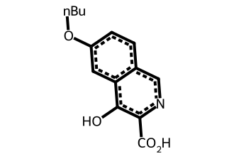 CCCCOc1ccc2cnc(C(=O)O)c(O)c2c1